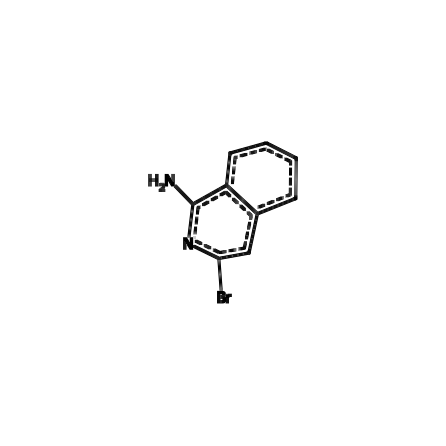 Nc1nc(Br)cc2ccccc12